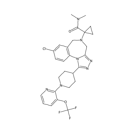 CN(C)C(=O)C1(N2Cc3cc(Cl)ccc3-n3c(nnc3C3CCN(c4ncccc4OC(F)(F)F)CC3)C2)CC1